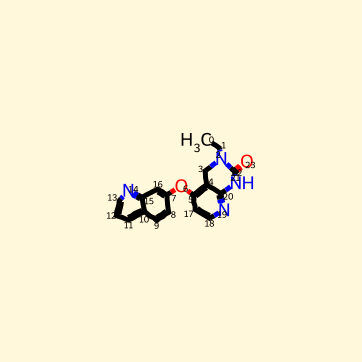 CCN1Cc2c(Oc3ccc4cccnc4c3)ccnc2NC1=O